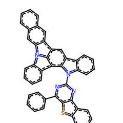 c1ccc(-c2nc(-n3c4ccccc4c4cc5c6cc7ccccc7cc6n6c7ccccc7c(c43)c56)nc3c2sc2ccccc23)cc1